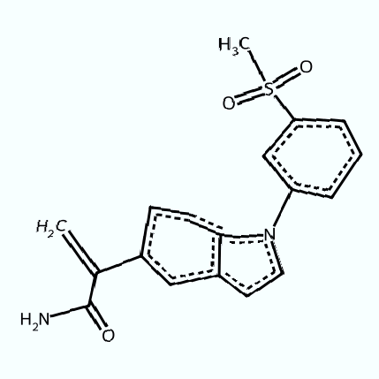 C=C(C(N)=O)c1ccc2c(ccn2-c2cccc(S(C)(=O)=O)c2)c1